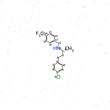 C[C@H](CCc1ccc(Cl)cc1)NCc1ccc(C(F)(F)F)cc1